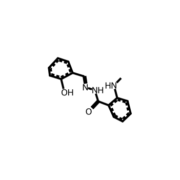 CNc1ccccc1C(=O)N/N=C/c1ccccc1O